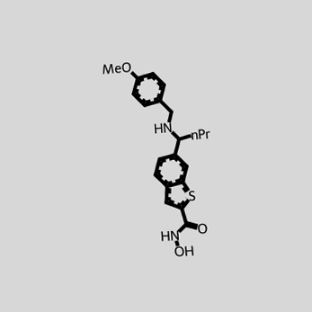 CCCC(NCc1ccc(OC)cc1)c1ccc2cc(C(=O)NO)sc2c1